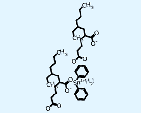 CCCCC(CC)CC(CCCC(=O)[O-])C(=O)[O-].CCCCC(CC)CC(CCCC(=O)[O-])C(=O)[O-].c1cc[c]([SnH2+4][c]2ccccc2)cc1